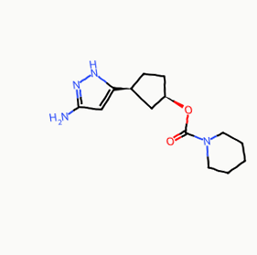 Nc1cc([C@H]2CC[C@@H](OC(=O)N3CCCCC3)C2)[nH]n1